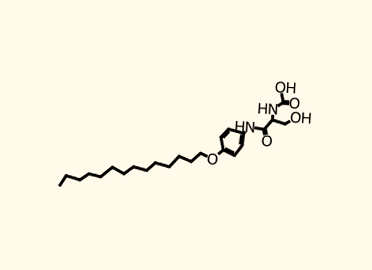 CCCCCCCCCCCCCCOc1ccc(NC(=O)C(CO)NC(=O)O)cc1